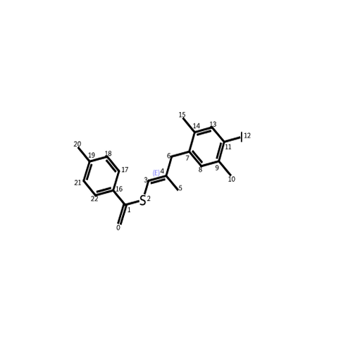 C=C(S/C=C(\C)Cc1cc(C)c(I)cc1C)c1ccc(C)cc1